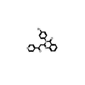 O=C(Cc1nc2ccccc2c(=O)n1-c1ccc(Br)cc1)c1ccncc1